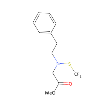 COC(=O)CN(CCc1ccccc1)SC(F)(F)F